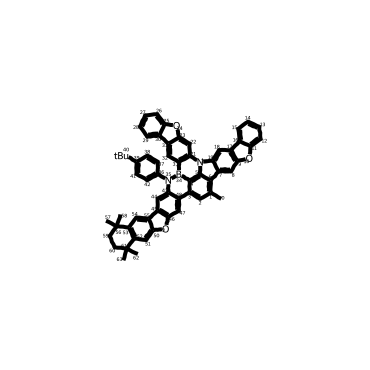 Cc1cc2c3c4c1c1cc5oc6ccccc6c5cc1n4-c1cc4oc5ccccc5c4cc1B3N(c1ccc(C(C)(C)C)cc1)c1cc3c(cc1-2)oc1cc2c(cc13)C(C)(C)CCC2(C)C